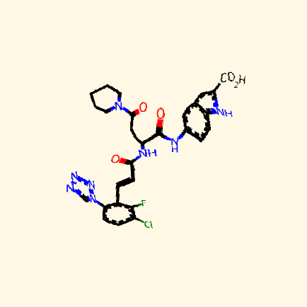 O=C(C=Cc1c(-n2cnnn2)ccc(Cl)c1F)NC(CC(=O)N1CCCCC1)C(=O)Nc1ccc2[nH]c(C(=O)O)cc2c1